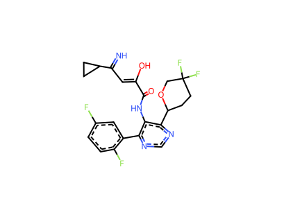 N=C(/C=C(\O)C(=O)Nc1c(-c2cc(F)ccc2F)ncnc1C1CCC(F)(F)CO1)C1CC1